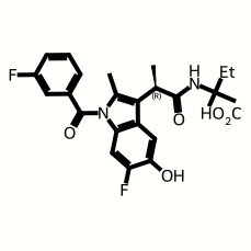 CCC(C)(NC(=O)[C@H](C)c1c(C)n(C(=O)c2cccc(F)c2)c2cc(F)c(O)cc12)C(=O)O